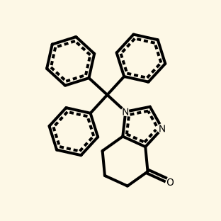 O=C1CCCc2c1ncn2C(c1ccccc1)(c1ccccc1)c1ccccc1